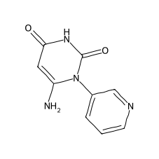 Nc1cc(=O)[nH]c(=O)n1-c1cccnc1